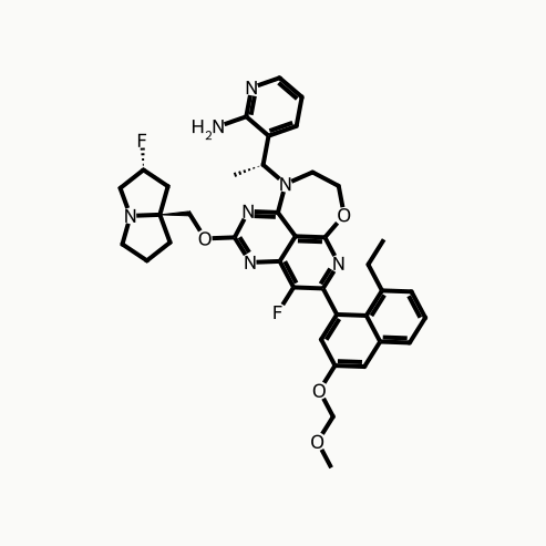 CCc1cccc2cc(OCOC)cc(-c3nc4c5c(nc(OC[C@@]67CCCN6C[C@H](F)C7)nc5c3F)N([C@H](C)c3cccnc3N)CCO4)c12